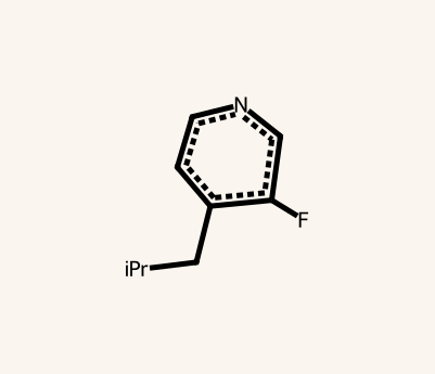 CC(C)Cc1ccncc1F